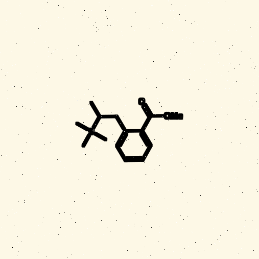 COC(=O)c1ccccc1CC(C)[Si](C)(C)C